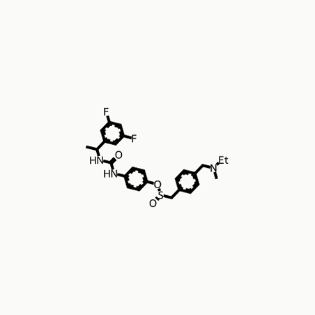 CCN(C)Cc1ccc(CS(=O)Oc2ccc(NC(=O)NC(C)c3cc(F)cc(F)c3)cc2)cc1